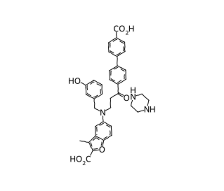 C1CNCCN1.Cc1c(C(=O)O)oc2ccc(N(CCC(=O)c3ccc(-c4ccc(C(=O)O)cc4)cc3)Cc3cccc(O)c3)cc12